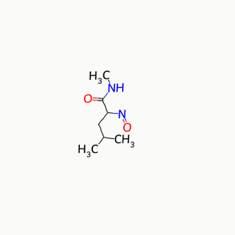 CNC(=O)C(CC(C)C)N=O